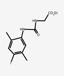 CCOC(=O)CNC(=O)Nc1cc(C)c(I)cc1C